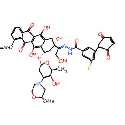 COc1cccc2c1C(=O)c1c(O)c3c(c(O)c1C2=O)C[C@@](O)(/C(CO)=N/NC(=O)c1cc(F)cc(C2C(=O)C=CC2=O)c1)C[C@@H]3O[C@H]1CC(N2CCO[C@H](OC)C2)[C@H](O)[C@H](C)O1